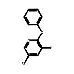 Fc1cc(Cl)cnc1Oc1c[c]ccc1